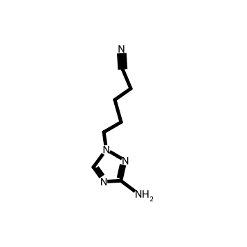 N#CCCCCn1cnc(N)n1